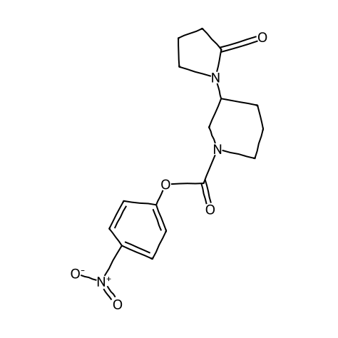 O=C(Oc1ccc([N+](=O)[O-])cc1)N1CCCC(N2CCCC2=O)C1